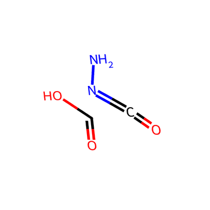 NN=C=O.O=CO